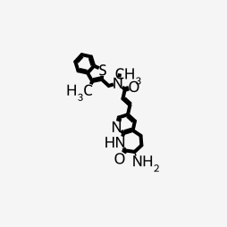 Cc1c(CN(C)C(=O)/C=C/c2cnc3c(c2)CC[C@H](N)C(=O)N3)sc2ccccc12